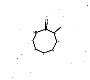 CC1CCCCCNC1=O